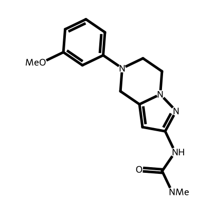 CNC(=O)Nc1cc2n(n1)CCN(c1cccc(OC)c1)C2